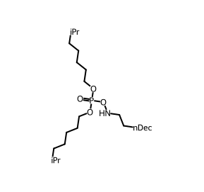 CCCCCCCCCCCCNOP(=O)(OCCCCCC(C)C)OCCCCCC(C)C